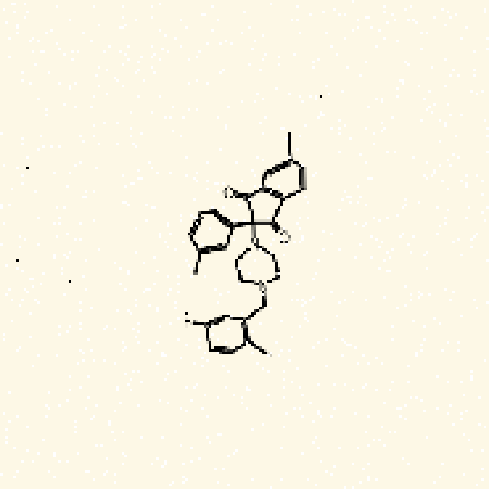 Cc1cccc(C2(N3CCN(Cc4cc(F)ccc4C)CC3)C(=O)c3ccc(C)cc3C2=O)c1